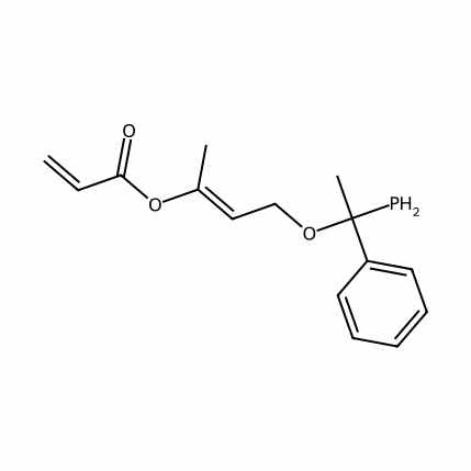 C=CC(=O)O/C(C)=C/COC(C)(P)c1ccccc1